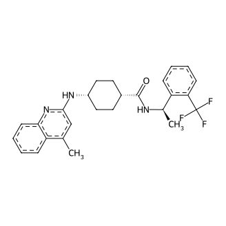 Cc1cc(N[C@H]2CC[C@@H](C(=O)N[C@H](C)c3ccccc3C(F)(F)F)CC2)nc2ccccc12